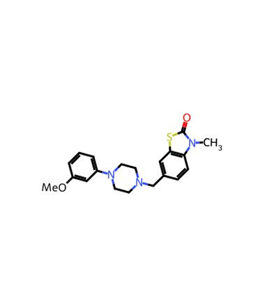 COc1cccc(N2CCN(Cc3ccc4c(c3)sc(=O)n4C)CC2)c1